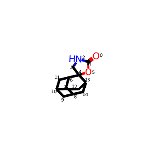 O=C1NCC2(O1)C1CC3CC(C1)CC2C3